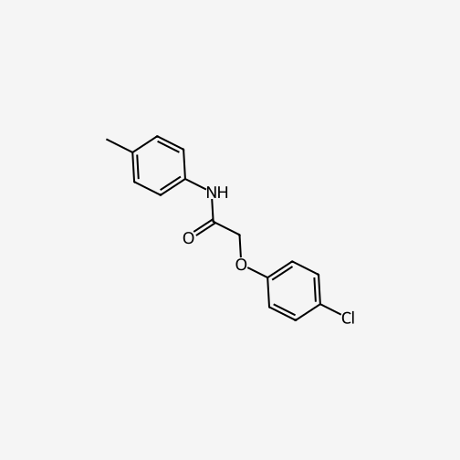 Cc1ccc(NC(=O)COc2ccc(Cl)cc2)cc1